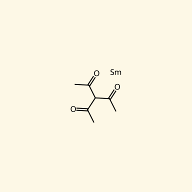 CC(=O)C(C(C)=O)C(C)=O.[Sm]